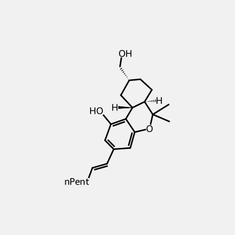 CCCCC/C=C/c1cc(O)c2c(c1)OC(C)(C)[C@@H]1CC[C@@H](CO)C[C@@H]21